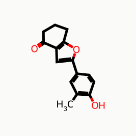 Cc1cc(-c2cc3c(o2)CCCC3=O)ccc1O